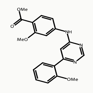 COC(=O)c1ccc(Nc2cc(-c3ccccc3OC)ncn2)cc1OC